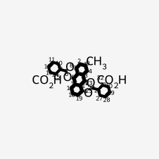 Cc1ccc2c(OC(=O)C3CC=CCC3C(=O)O)c3ccccc3c(OC(=O)C3CC=CCC3C(=O)O)c2c1